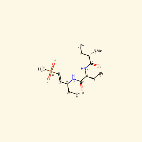 CN[C@@H](CC(C)C)C(=O)N[C@@H](CC(C)C)C(=O)N[C@H](/C=C/S(C)(=O)=O)CC(C)C